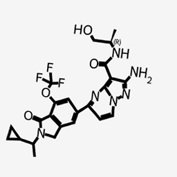 CC(C1CC1)N1Cc2cc(-c3ccn4nc(N)c(C(=O)N[C@H](C)CO)c4n3)cc(OC(F)(F)F)c2C1=O